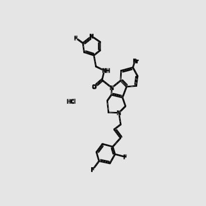 Cl.O=C(NCc1ccnc(F)c1)n1c2c(c3ccc(Br)cc31)CN(C/C=C/c1ccc(F)cc1F)CC2